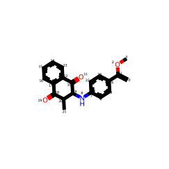 C=C(OC)c1ccc(NC2C(=O)c3ccccc3C(=O)C2C)cc1